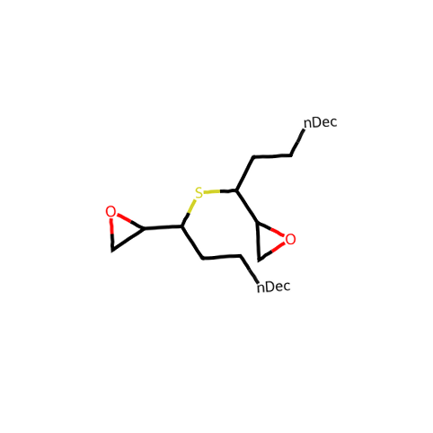 CCCCCCCCCCCCC(SC(CCCCCCCCCCCC)C1CO1)C1CO1